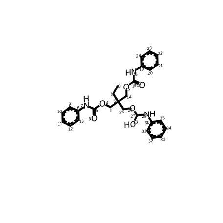 CCC(COC(=O)Nc1ccccc1)(COC(=O)Nc1ccccc1)COC(O)Nc1ccccc1